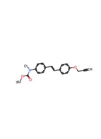 C#CCOc1ccc(/C=C/c2ccc(N(CC)C(=O)OC(C)(C)C)cc2)cc1